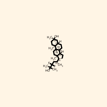 C[C@H](CC(F)(F)C(C)(C)O)[C@H]1CC[C@H]2[C@@H]3CC[C@H]4C[C@@](C)(O)CC[C@]4(C)[C@H]3CC[C@]12C